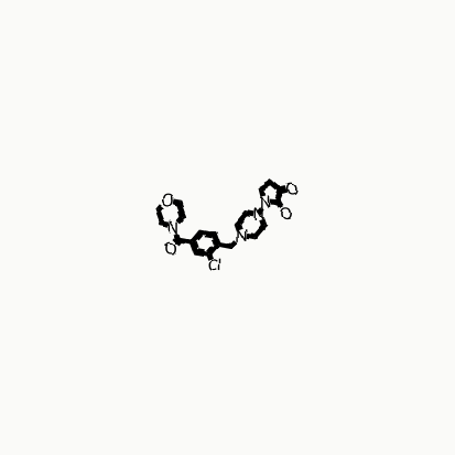 O=C1CCN(N2CCN(Cc3ccc(C(=O)N4CCOCC4)cc3Cl)CC2)C1=O